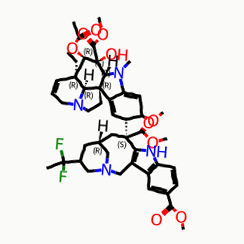 CC[C@]12C=CCN3CC[C@@]4(C5=CC([C@@]6(C(=O)OC)C[C@H]7CC(C(C)(F)F)CN(Cc8c6[nH]c6ccc(C(=O)OC)cc86)C7)C(OC)C=C5N(C)[C@H]4[C@@](O)(C(=O)OC)[C@@H]1OC(C)=O)[C@@H]32